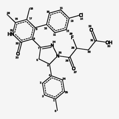 Cc1ccc(C2CC(c3c(-c4ccc(Cl)cc4)c(C)c(C)[nH]c3=O)=NN2C(=O)C(F)CC(=O)O)cc1